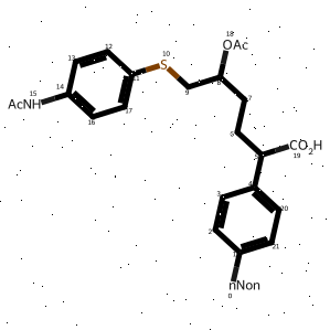 CCCCCCCCCc1ccc(C(CCC(CSc2ccc(NC(C)=O)cc2)OC(C)=O)C(=O)O)cc1